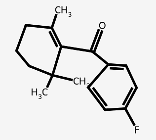 CC1=C(C(=O)c2ccc(F)cc2)C(C)(C)CCC1